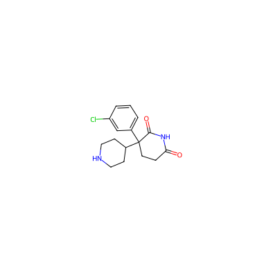 O=C1CCC(c2cccc(Cl)c2)(C2CCNCC2)C(=O)N1